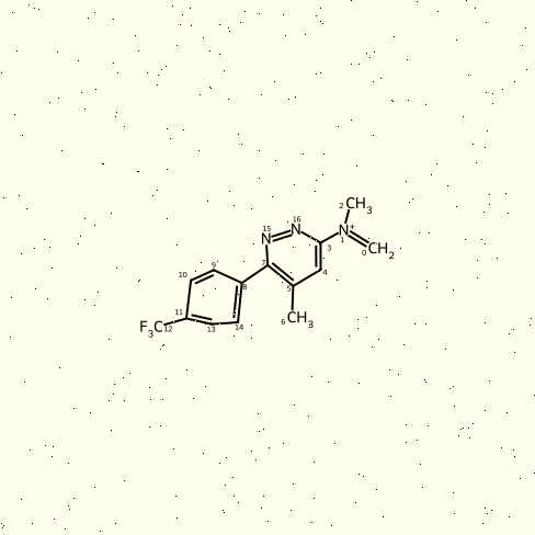 C=[N+](C)c1cc(C)c(-c2ccc(C(F)(F)F)cc2)nn1